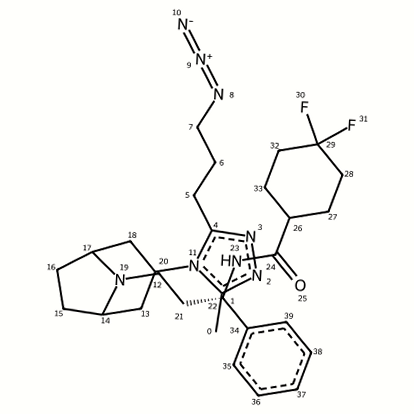 Cc1nnc(CCCN=[N+]=[N-])n1C1CC2CCC(C1)N2CC[C@H](NC(=O)C1CCC(F)(F)CC1)c1ccccc1